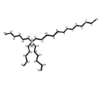 CCCCCCCCCCCCC[PH](CCCCC)(CCCCCC)CCCCCC